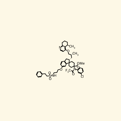 COC(=O)C1(N(C(=O)C(F)(F)F)c2cccc(Cl)c2)CCC2(CC1)c1cc(OCCCNS(=O)(=O)CCc3ccccc3)ccc1C[C@@H]2C[C@@H](C)COc1ccnc2c1[C@H](C)CCC2